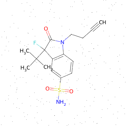 C#CCCN1C(=O)C(F)(C(C)(C)C)c2cc(S(N)(=O)=O)ccc21